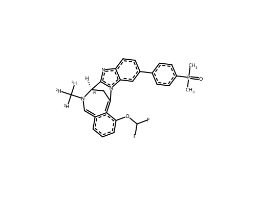 [2H]C([2H])([2H])N1C=c2cccc(OC(F)F)c2=C2C[C@@H]1c1nc3ccc(-c4ccc(P(C)(C)=O)cc4)cc3n12